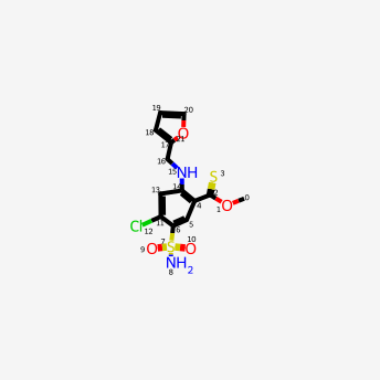 COC(=S)c1cc(S(N)(=O)=O)c(Cl)cc1NCc1ccco1